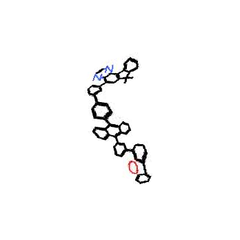 CC1(C)c2ccccc2-c2c1cc(-c1cccc(-c3ccc(-c4c5ccccc5c(-c5cccc(-c6cccc7c6oc6ccccc67)c5)c5ccccc45)cc3)c1)c1nccnc21